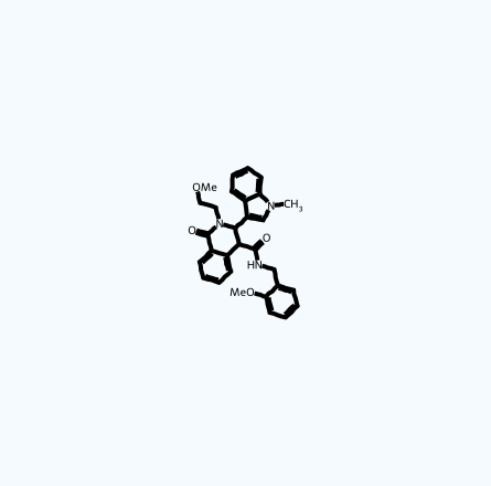 COCCN1C(=O)c2ccccc2C(C(=O)NCc2ccccc2OC)C1c1cn(C)c2ccccc12